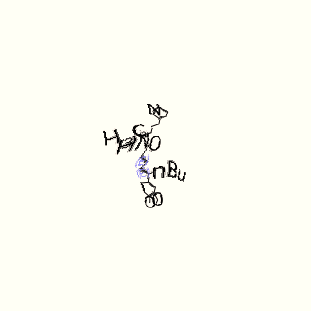 CCCC/C(=C\C=C\C(=O)N[C@H](C)CCCc1cccnc1)c1ccc2c(c1)OCO2